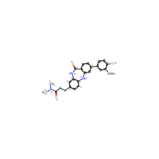 COc1cc(-c2ccc3c(c2)Nc2ccc(CCC(=O)N(C)C)cc2NC3=O)ccc1Cl